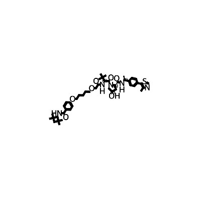 Cc1ncsc1-c1ccc([C@H](C)NC(=O)[C@@H]2C[C@@H](O)CN2C(=O)[C@@H](NC(=O)COCCCCCOc2ccc(C(=O)NC3C(C)(C)CC3(C)C)cc2)C(C)(C)C)cc1